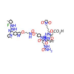 Cc1cccc(-c2nc(CNc3cccc(C)c3F)[nH]c2-c2ccc3ncc(OCCCCNC(=O)OCc4ccc(NC(=O)[C@H](CCCNC(N)=O)NC(=O)[C@@H](NC(=O)[C@H](CCC(=O)O)NC(=O)CCCCCN5C(=O)C=CC5=O)C(C)C)cc4)cc3c2)n1